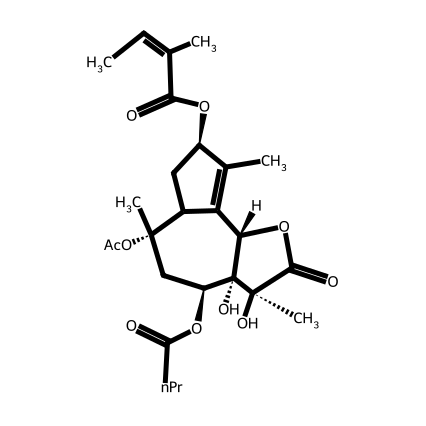 C/C=C(/C)C(=O)O[C@@H]1CC2C(=C1C)[C@@H]1OC(=O)[C@@](C)(O)[C@@]1(O)[C@@H](OC(=O)CCC)C[C@]2(C)OC(C)=O